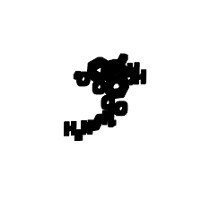 COc1ccc2c3c1OC1C(OC(=O)N(C)CCN)=CC[C@@]4(O)[C@@H](C2)N(C)CC[C@]314